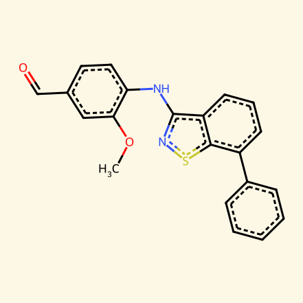 COc1cc(C=O)ccc1Nc1nsc2c(-c3ccccc3)cccc12